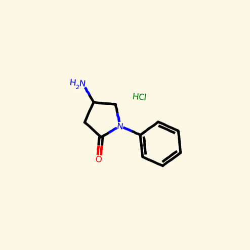 Cl.NC1CC(=O)N(c2ccccc2)C1